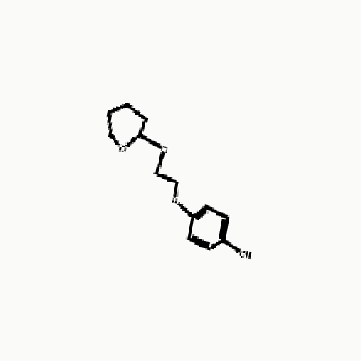 Oc1ccc(OCCOC2CCCCO2)cc1